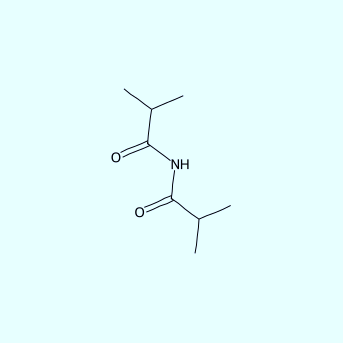 CC(C)C(=O)NC(=O)C(C)C